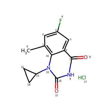 Cc1cc(F)cc2c(=O)[nH]c(=O)n(C3CC3)c12.Cl